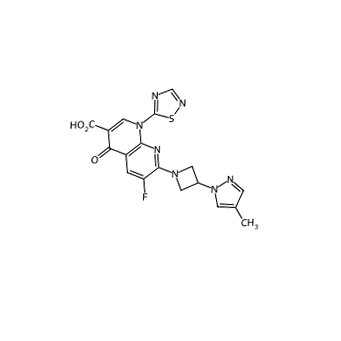 Cc1cnn(C2CN(c3nc4c(cc3F)c(=O)c(C(=O)O)cn4-c3ncns3)C2)c1